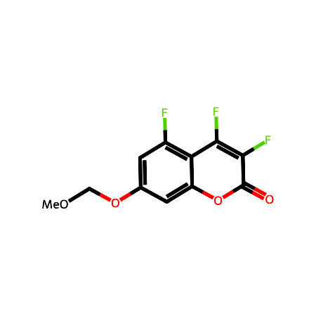 COCOc1cc(F)c2c(F)c(F)c(=O)oc2c1